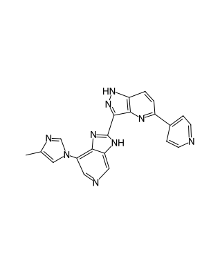 Cc1cn(-c2cncc3[nH]c(-c4n[nH]c5ccc(-c6ccncc6)nc45)nc23)cn1